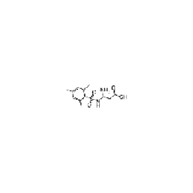 Cc1cc(C)c(S(=O)(=O)NC(N)CC(=O)O)c(C)c1